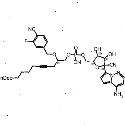 CCCCCCCCCCCCCCC#CC[C@H](COP(=O)(O)OC[C@H]1O[C@@](C#N)(c2ccc3c(N)ccnn23)[C@H](O)[C@@H]1O)OCc1ccc(C#N)c(F)c1